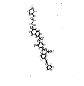 N=Cc1cc(C#Cc2ccccc2)ccc1OC(=O)c1ccc(OC(=O)c2ccc3cc(OCCCOCC4CCC5OC5C4)ccc3c2)c(F)c1